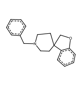 c1ccc(CN2CCC3(CC2)COc2ccccc23)cc1